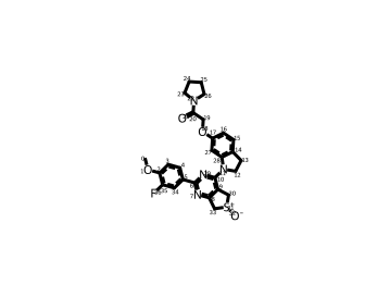 COc1ccc(-c2nc3c(c(N4CCc5ccc(OCC(=O)N6CCCC6)cc54)n2)C[S+]([O-])C3)cc1F